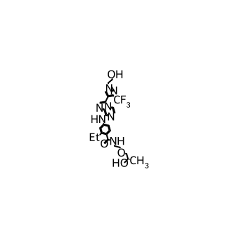 CCc1cc(Nc2nccn3c(-c4cn(CCO)nc4C(F)(F)F)cnc23)ccc1C(=O)NCCOC[C@H](C)O